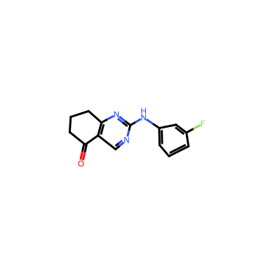 O=C1CCCc2nc(Nc3cccc(F)c3)ncc21